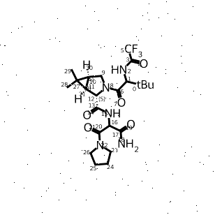 CC(C)(C)C(NC(=O)C(F)(F)F)C(=O)N1C[C@H]2[C@@H]([C@H]1C(=O)NC(C(N)=O)C(=O)N1CCCC1)C2(C)C